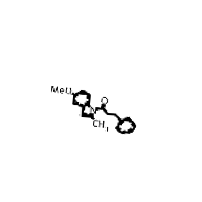 COc1ccc2c([c]c(C)n2C(=O)CCc2ccccc2)c1